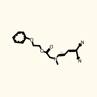 CN(/C=C/C=C(C#N)C#N)CC(=O)OCCOc1ccccc1